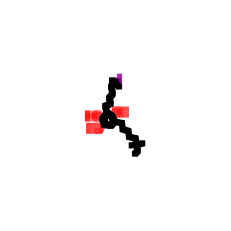 CCC(C)(C)CCCCCc1cc(O)c(O)c(CCCCCC(C)(C)I)c1O